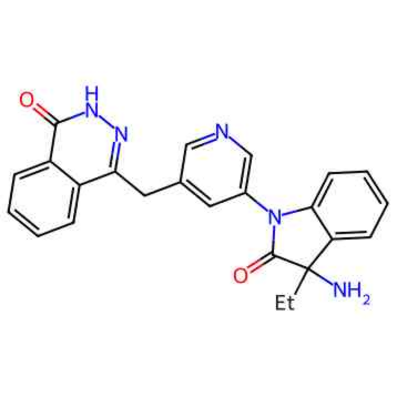 CCC1(N)C(=O)N(c2cncc(Cc3n[nH]c(=O)c4ccccc34)c2)c2ccccc21